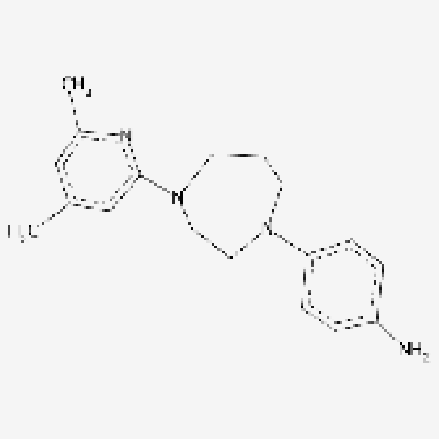 Cc1cc(C)nc(N2CCCN(c3ccc(N)cc3)CC2)c1